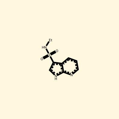 [CH2]CNS(=O)(=O)c1c[nH]c2ncccc12